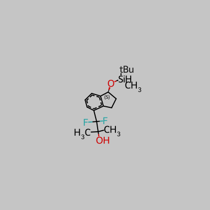 C[SiH](O[C@H]1CCc2c1cccc2C(F)(F)C(C)(C)O)C(C)(C)C